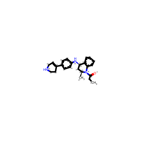 CCC(=O)N1c2ccccc2[C@H](Nc2ccc(C3=CCNCC3)cc2)C[C@@H]1C